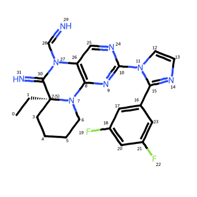 CC[C@@]12CCCCN1c1nc(-n3ccnc3-c3cc(F)cc(F)c3)ncc1N(C=N)C2=N